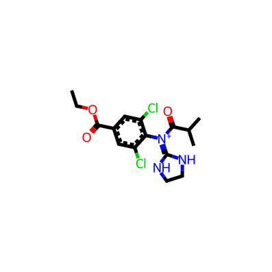 CCOC(=O)c1cc(Cl)c([N+](C(=O)C(C)C)=C2NCCN2)c(Cl)c1